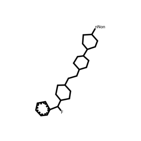 CCCCCCCCCC1CCC(C2CCC(CCC3CCC(C(F)c4ccccc4)CC3)CC2)CC1